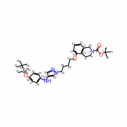 CC(C)(C)OC(=O)N1CCc2c(cccc2OCCCCn2cc(Nc3ccc(O[Si](C)(C)C(C)(C)C)cc3)cn2)C1